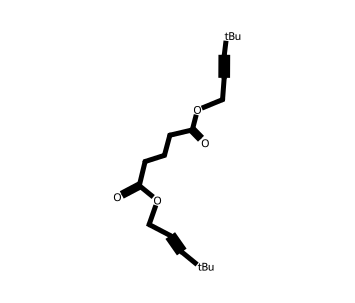 CC(C)(C)C#CCOC(=O)CCCC(=O)OCC#CC(C)(C)C